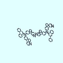 c1ccc(-c2cc(N(c3ccc4c(c3)oc3c[n+](-c5cc6oc7ccc(N(c8ccc9c(c8)oc8ncccc89)c8cc9ccccc9c9ccccc89)cc7c6cn5)ccc34)c3ccc4oc5ccncc5c4c3)c3ccccc3c2)cc1